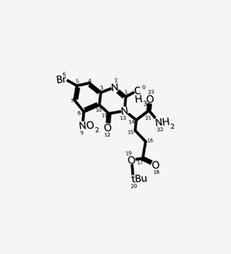 Cc1nc2cc(Br)cc([N+](=O)[O-])c2c(=O)n1C(CCC(=O)OC(C)(C)C)C(N)=O